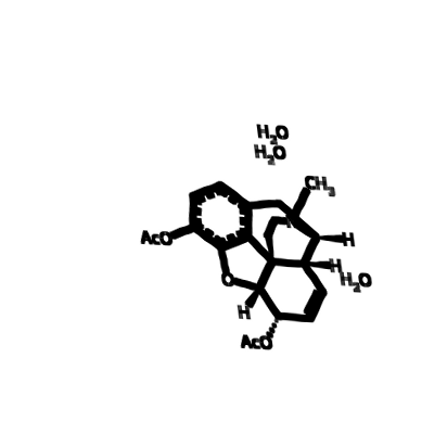 CC(=O)Oc1ccc2c3c1O[C@H]1[C@@H](OC(C)=O)C=C[C@H]4[C@@H](C2)N(C)CC[C@@]341.O.O.O